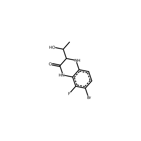 CC(O)C1Nc2ccc(Br)c(F)c2NC1=O